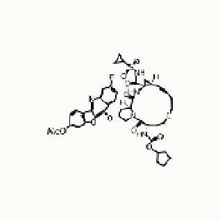 COc1ccc2c(c1)oc1c(O[C@@H]3C[C@H]4C(=O)N[C@]5(C(=O)NS(=O)(=O)C6CC6)C[C@H]5/C=C\CCCCC[C@H](NC(=O)OC5CCCC5)C(=O)N4C3)c3ccc(F)cc3nc12